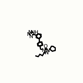 CCCCc1nn(C2CCCCC2)c(=O)n1Cc1ccc(-c2cccc(-c3nnn[nH]3)c2)cc1